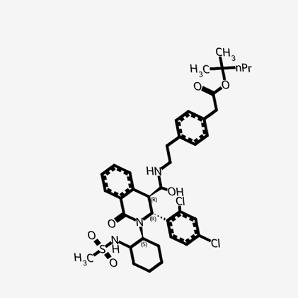 CCCC(C)(C)OC(=O)Cc1ccc(CCNC(O)[C@@H]2c3ccccc3C(=O)N([C@H]3CCCCC3NS(C)(=O)=O)[C@H]2c2ccc(Cl)cc2Cl)cc1